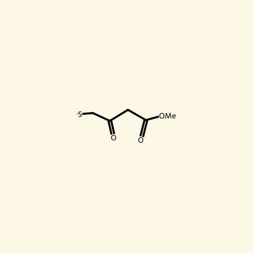 COC(=O)CC(=O)C[S]